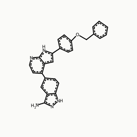 Nc1n[nH]c2ccc(-c3ccnc4[nH]c(-c5ccc(OCc6ccccc6)cc5)cc34)cc12